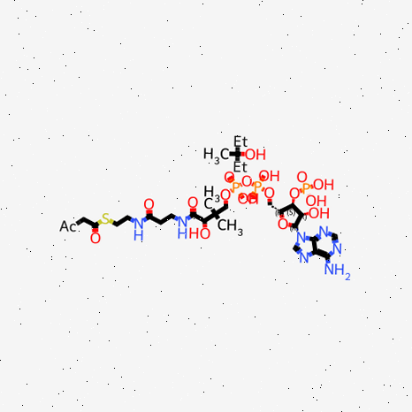 CC(=O)CC(=O)SCCNC(=O)CCNC(=O)C(O)C(C)(C)COP(=O)(O)OP(=O)(O)OC[C@H]1O[C@@H](n2cnc3c(N)ncnc32)[C@H](O)[C@@H]1OP(=O)(O)O.CCC(C)(O)CC